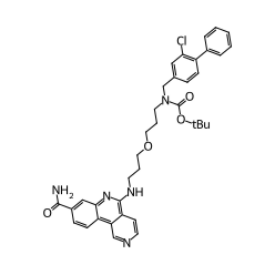 CC(C)(C)OC(=O)N(CCCOCCCNc1nc2cc(C(N)=O)ccc2c2cnccc12)Cc1ccc(-c2ccccc2)c(Cl)c1